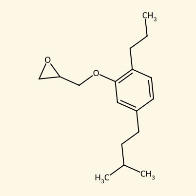 CCCc1ccc(CCC(C)C)cc1OCC1CO1